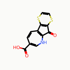 O=C(O)c1ccc2c([nH]c1)c(=O)c1sccsc12